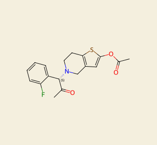 CC(=O)Oc1cc2c(s1)CCN([C@H](C(C)=O)c1ccccc1F)C2